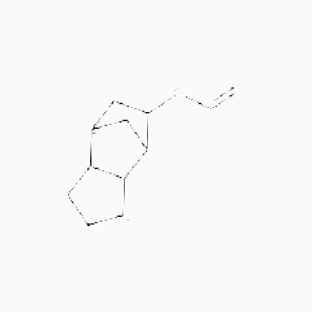 S=COC1CC2CC1C1CCCC21